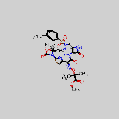 CC(C)(C)OC(=O)C(C)(C)O/N=C(\C(=O)N[C@@H]1C(=O)N[C@@H]1CNS(=O)(=O)c1cccc(C(=O)O)c1)c1csc(N2C(=O)OC2(C)C)n1